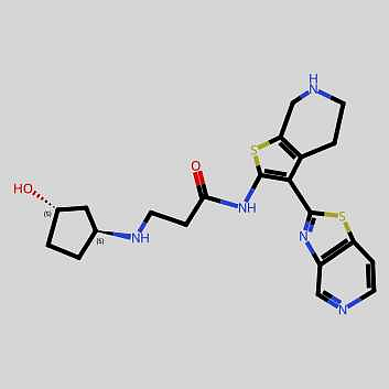 O=C(CCN[C@H]1CC[C@H](O)C1)Nc1sc2c(c1-c1nc3cnccc3s1)CCNC2